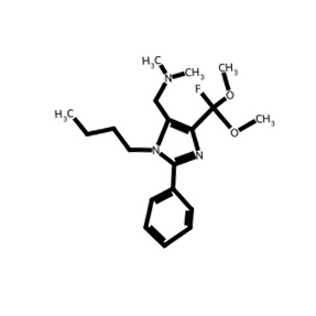 CCCCn1c(-c2ccccc2)nc(C(F)(OC)OC)c1CN(C)C